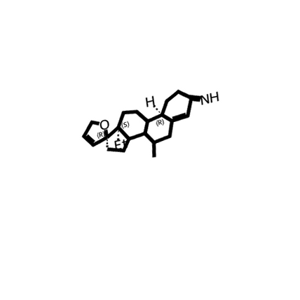 CC[C@]12CCC3C(C(C)CC4=CC(=N)CC[C@@H]43)C1CC[C@@]21C=CCO1